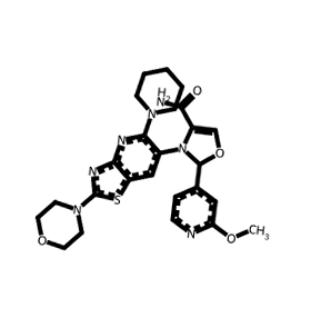 COc1cc(C2OC=C(C(N)=O)N2c2cc3sc(N4CCOCC4)nc3nc2N2CCCCC2)ccn1